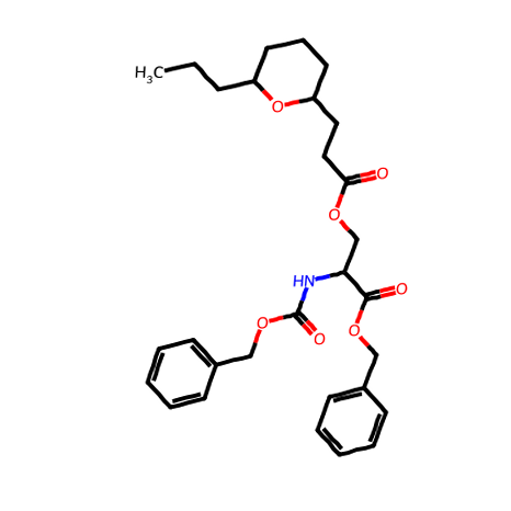 CCCC1CCCC(CCC(=O)OCC(NC(=O)OCc2ccccc2)C(=O)OCc2ccccc2)O1